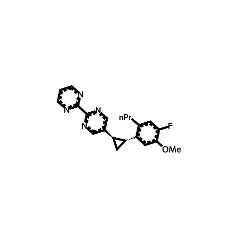 CCCc1cc(F)c(OC)cc1[C@@H]1C[C@H]1c1cnc(-c2ncccn2)nc1